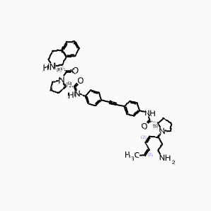 C/C=C\C=C/C(CCN)N1CCC[C@H]1C(=O)Nc1ccc(C#Cc2ccc(NC(=O)[C@@H]3CCCN3C(=O)[C@@H]3NCCc4ccccc43)cc2)cc1